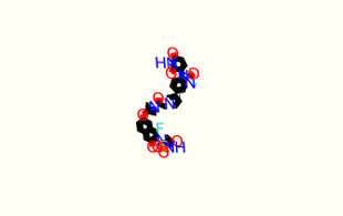 Cn1c(=O)n(C2CCC(=O)NC2=O)c2ccc([C@H]3CCN(CC(=O)N4CC(Oc5ccc6cc(O)c(N7CC(=O)NS7(=O)=O)c(F)c6c5)C4)C3)cc21